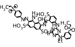 C=CS(=O)(=O)c1ccc(/N=N/c2c(S(=O)(=O)O)cc3cc(S(=O)(=O)O)c(/N=N/c4cc(Nc5nc(F)nc(N(CC)c6cccc(S(=O)(=O)C=C)c6)n5)ccc4S(=O)(=O)O)c(O)c3c2N)cc1